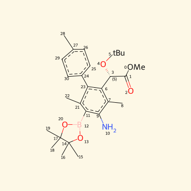 COC(=O)[C@@H](OC(C)(C)C)c1c(C)c(N)c(B2OC(C)(C)C(C)(C)O2)c(C)c1-c1ccc(C)cc1